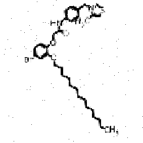 CCCCCCCCCCCCCCOc1ccccc1OCC(=O)Nc1ccc(C[n+]2cscc2C)cc1.[Br-]